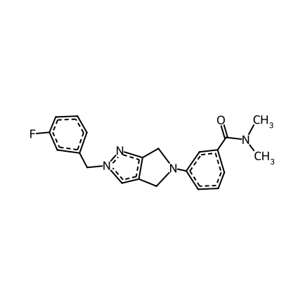 CN(C)C(=O)c1cccc(N2Cc3cn(Cc4cccc(F)c4)nc3C2)c1